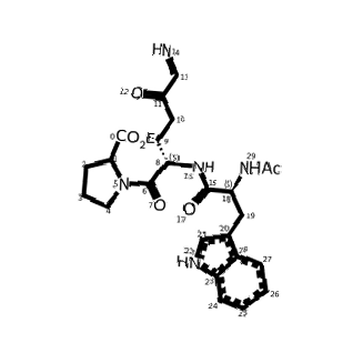 CCOC(=O)C1CCCN1C(=O)[C@H](CCC(=O)C=N)NC(=O)[C@H](Cc1c[nH]c2ccccc12)NC(C)=O